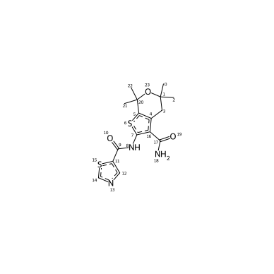 CC1(C)Cc2c(sc(NC(=O)c3cncs3)c2C(N)=O)C(C)(C)O1